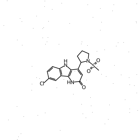 CS(=O)(=O)N1CCCC1c1cc(=O)[nH]c2c1[nH]c1ccc(Cl)cc12